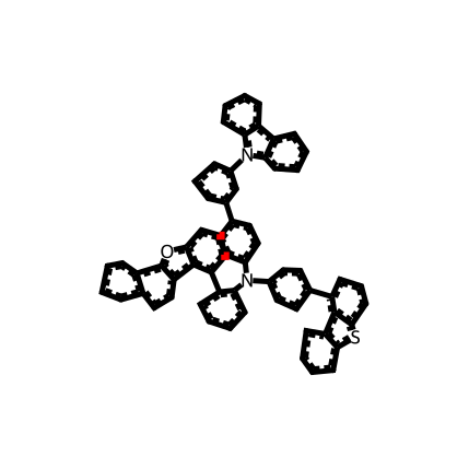 c1cc(-c2ccc(N(c3ccc(-c4cccc5sc6ccccc6c45)cc3)c3ccccc3-c3cccc4oc5c6ccccc6ccc5c34)cc2)cc(-n2c3ccccc3c3ccccc32)c1